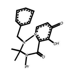 CC(C)N1C(=O)c2c(O)c(=O)ccn2N(Cc2ccccc2)C1(C)C